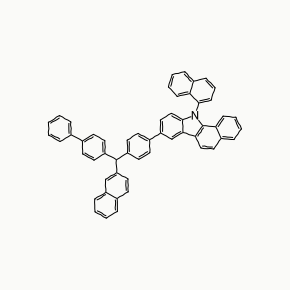 c1ccc(-c2ccc(C(c3ccc(-c4ccc5c(c4)c4ccc6ccccc6c4n5-c4cccc5ccccc45)cc3)c3ccc4ccccc4c3)cc2)cc1